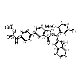 COc1ccc(F)cc1C(c1cc2ccccc2[nH]1)N1Cc2ccc(-c3ccc(NC(=O)OC(C)(C)C)cc3)cc2C1=O